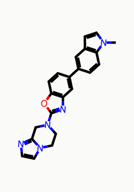 Cn1ccc2cc(-c3ccc4oc(N5CCn6ccnc6C5)nc4c3)ccc21